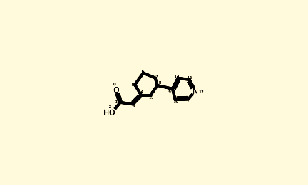 O=C(O)C=C1CCCC(c2ccncc2)C1